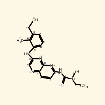 CCN(S)C(=O)Nc1ccc2ncc(Nc3cccc(CO)c3C)nc2n1